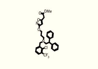 COC(=O)Cc1cc(OCCCN(Cc2cccc(C(F)(F)F)c2Cl)CC(c2ccccc2)c2ccccc2)no1